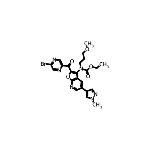 CCOC(=O)N(CCCOC)c1c(C(=O)c2cnc(Br)cn2)oc2ncc(-c3cnn(C)c3)cc12